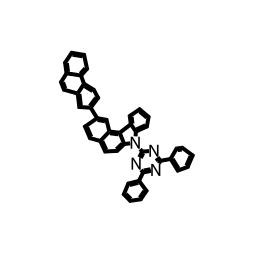 c1ccc(-c2nc(-c3ccccc3)nc(-n3c4ccccc4c4c5cc(-c6ccc7c(ccc8ccccc87)c6)ccc5ccc43)n2)cc1